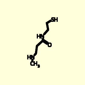 CNCCC(=O)NCCS